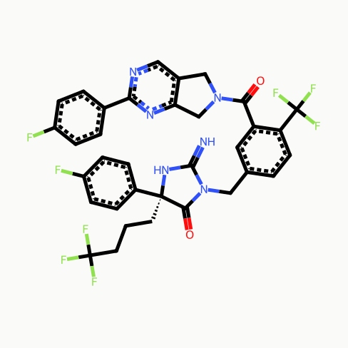 N=C1N[C@](CCCC(F)(F)F)(c2ccc(F)cc2)C(=O)N1Cc1ccc(C(F)(F)F)c(C(=O)N2Cc3cnc(-c4ccc(F)cc4)nc3C2)c1